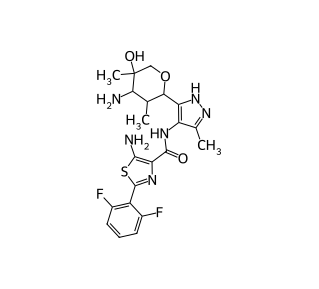 Cc1n[nH]c(C2OCC(C)(O)C(N)C2C)c1NC(=O)c1nc(-c2c(F)cccc2F)sc1N